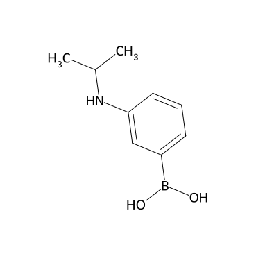 CC(C)Nc1cccc(B(O)O)c1